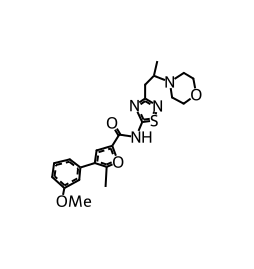 COc1cccc(-c2cc(C(=O)Nc3nc(CC(C)N4CCOCC4)ns3)oc2C)c1